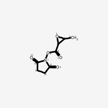 CC1OC1C(=O)ON1C(=O)CCC1=O